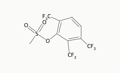 CS(=O)(=O)Oc1c(C(F)(F)F)ccc(C(F)(F)F)c1C(F)(F)F